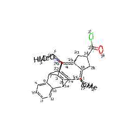 C=CC1=C(/C=C\C)C2c3ccccc3C1c1c(OC)c3c(c(OC)c12)CC(C(=O)Cl)C3